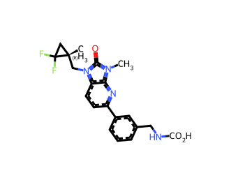 Cn1c(=O)n(C[C@@]2(C)CC2(F)F)c2ccc(-c3cccc(CNC(=O)O)c3)nc21